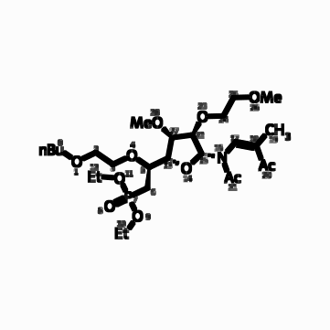 CCCCOCCO[C@H](CP(=O)(OCC)OCC)[C@H]1O[C@@H](N(/C=C(/C)C(C)=O)C(C)=O)[C@H](OCCOC)[C@@H]1OC